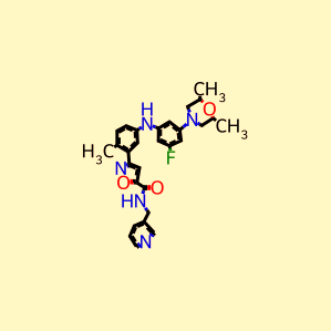 Cc1ccc(Nc2cc(F)cc(N3CC(C)OC(C)C3)c2)cc1-c1cc(C(=O)NCc2cccnc2)on1